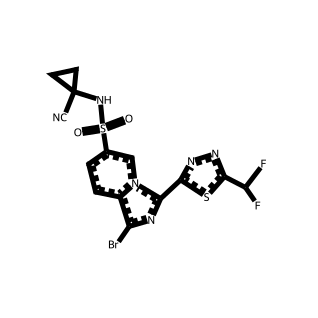 N#CC1(NS(=O)(=O)c2ccc3c(Br)nc(-c4nnc(C(F)F)s4)n3c2)CC1